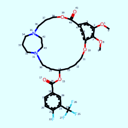 COc1cc2cc(c1OC)OCCCC(OC(=O)c1ccc(F)c(C(F)(F)F)c1)CCN1CCCN(CCCOC2=O)CC1